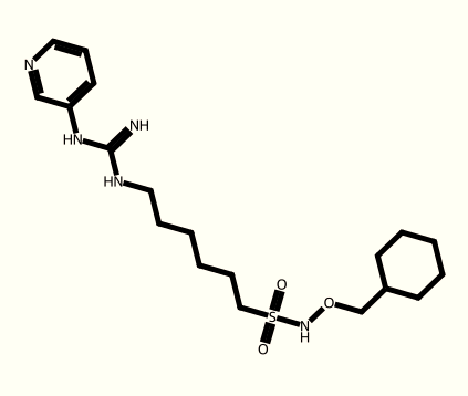 N=C(NCCCCCCS(=O)(=O)NOCC1CCCCC1)Nc1cccnc1